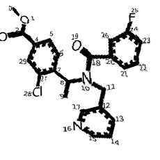 COC(=O)c1ccc(C(C)N(Cc2cccnc2)C(=O)c2cccc(F)c2)c(Cl)c1